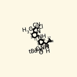 Cc1c(C#N)c(Cl)nc2c1CCCC2Nc1ccc(NC(=O)OC(C)(C)C)c(C(=N)C2CC2)c1